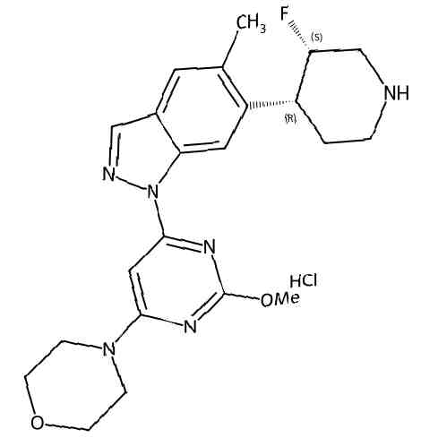 COc1nc(N2CCOCC2)cc(-n2ncc3cc(C)c([C@H]4CCNC[C@H]4F)cc32)n1.Cl